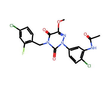 COc1nn(-c2ccc(Cl)c(NC(C)=O)c2)c(=O)n(Cc2ccc(Cl)cc2F)c1=O